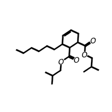 CCCCCCC1C=CCC(C(=O)OCC(C)C)C1C(=O)OCC(C)C